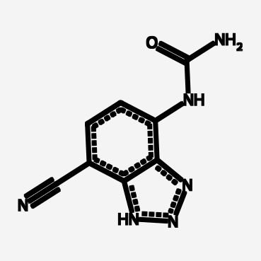 N#Cc1ccc(NC(N)=O)c2nn[nH]c12